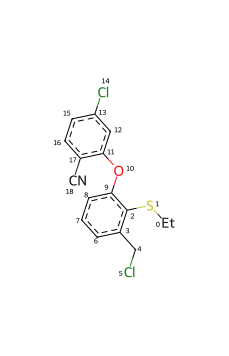 CCSc1c(CCl)cccc1Oc1cc(Cl)ccc1C#N